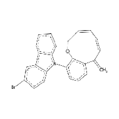 C=C1/C=C\C=C/COc2c1cccc2-n1c2ccccc2c2cc(Br)ccc21